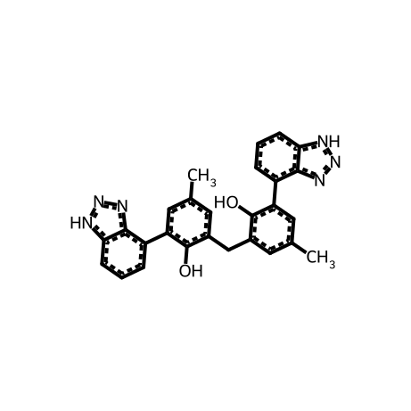 Cc1cc(Cc2cc(C)cc(-c3cccc4[nH]nnc34)c2O)c(O)c(-c2cccc3[nH]nnc23)c1